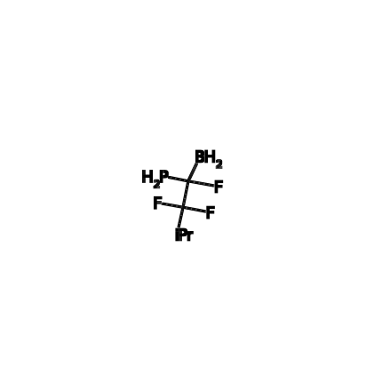 BC(F)(P)C(F)(F)C(C)C